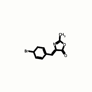 CC1=N/C(=C\C2=CCC(Br)C=C2)C(=O)O1